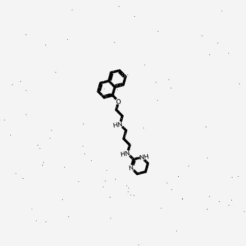 c1ccc2c(OCCNCCCNC3=NCCCN3)cccc2c1